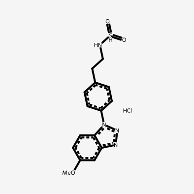 COc1ccc2c(c1)nnn2-c1ccc(CCN[SH](=O)=O)cc1.Cl